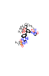 COc1c(C(=O)CC(C)(C)C)cc(-n2ccc(=O)[nH]c2=O)cc1-c1ccc2nc(NS(C)(=O)=O)cnc2c1